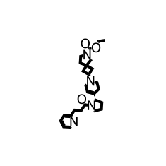 CCOC(=O)N1CCC2(CC(N3CC=C([C@@H]4CCCN4C(=O)CCc4ccccn4)CC3)C2)C1